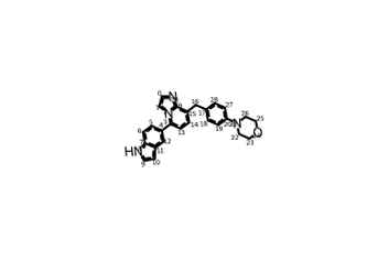 c1cn2c(-c3ccc4[nH]ccc4c3)ccc(Cc3ccc(N4CCOCC4)cc3)c2n1